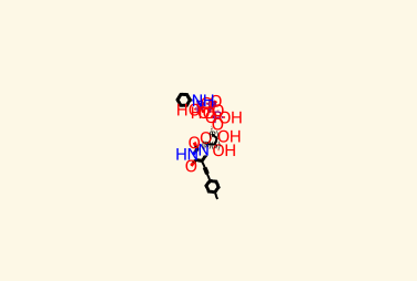 Cc1ccc(C#Cc2cn([C@@H]3O[C@H](COP(=O)(O)OP(=O)(O)OP(=O)(O)Nc4ccccc4)C(O)[C@@H]3O)c(=O)[nH]c2=O)cc1